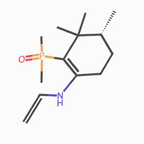 C=CNC1=C(P(C)(C)=O)C(C)(C)[C@H](C)CC1